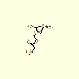 B[C@@H]1CC(O)[C@H](COC(=O)CN)O1